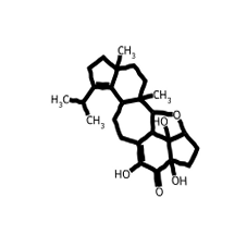 CC(C)C1=C2C3CCC4=C(O)C(=O)C5(O)CCC6OC(C4C65O)C3(C)CCC2(C)CC1